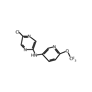 FC(F)(F)Oc1ccc(Nc2cnc(Cl)cn2)cn1